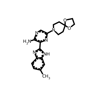 Cc1ccc2nc(-c3nc(N4CCC5(CC4)OCCO5)cnc3N)[nH]c2c1